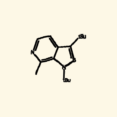 Cc1nccc2c(C(C)(C)C)bn(C(C)(C)C)c12